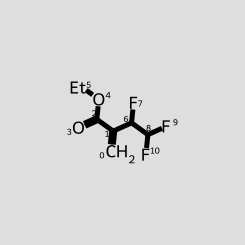 C=C(C(=O)OCC)C(F)C(F)F